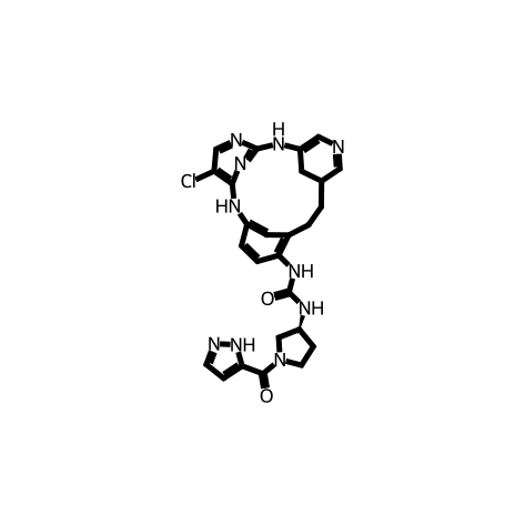 O=C(Nc1ccc2cc1CCC1C=NC=C(C1)Nc1ncc(Cl)c(n1)N2)N[C@H]1CCN(C(=O)c2ccn[nH]2)C1